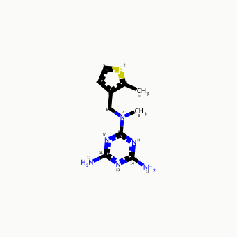 Cc1sccc1CN(C)c1nc(N)nc(N)n1